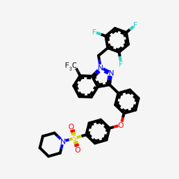 O=S(=O)(c1ccc(Oc2cccc(-c3nn(Cc4c(F)cc(F)cc4F)c4c(C(F)(F)F)cccc34)c2)cc1)N1CCCCC1